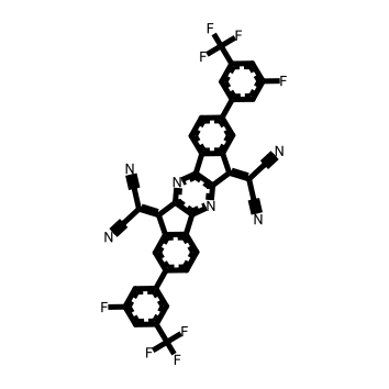 N#CC(C#N)=C1c2cc(-c3cc(F)cc(C(F)(F)F)c3)ccc2-c2nc3c(nc21)-c1ccc(-c2cc(F)cc(C(F)(F)F)c2)cc1C3=C(C#N)C#N